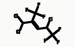 FC(F)(F)/C(=C\C(Cl)C(F)(F)F)C(Cl)Cl